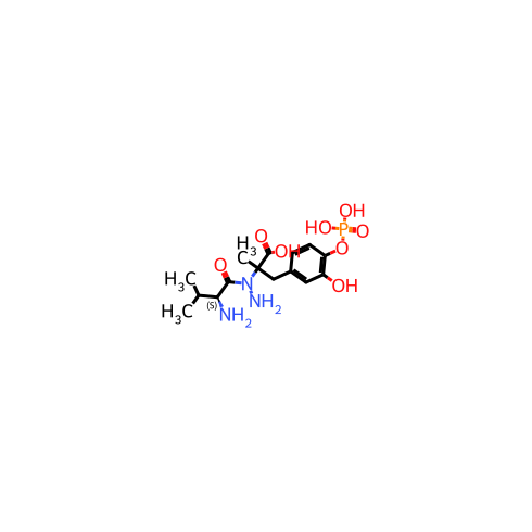 CC(C)[C@H](N)C(=O)N(N)C(C)(Cc1ccc(OP(=O)(O)O)c(O)c1)C(=O)O